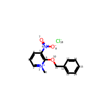 C[n+]1cccc([N+](=O)[O-])c1OCc1ccccc1.[Cl-]